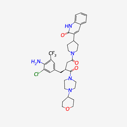 Nc1c(Cl)cc(C[C@@H](CC(=O)N2CCC(c3cc4ccccc4[nH]c3=O)CC2)C(=O)N2CCN(C3CCOCC3)CC2)cc1C(F)(F)F